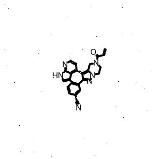 C=CC(=O)N1CCn2nc(-c3cccc(C#N)c3)c(-c3ccnc4[nH]cc(C)c34)c2C1